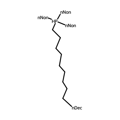 CCCCCCCCCCCCCCCCCCC[PH](CCCCCCCCC)(CCCCCCCCC)CCCCCCCCC